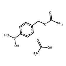 NC(=O)O.NC(=O)OCc1ccc(B(O)O)cc1